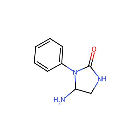 NC1CNC(=O)N1c1ccccc1